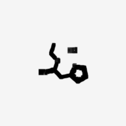 CCOC(=N)Cc1cccs1.Cl